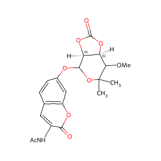 COC1[C@@H]2OC(=O)O[C@@H]2C(Oc2ccc3cc(NC(C)=O)c(=O)oc3c2)OC1(C)C